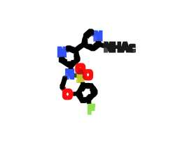 CC(=O)Nc1cc(-c2cncc(N3CCOc4cc(F)ccc4S3(=O)=O)c2)ccn1